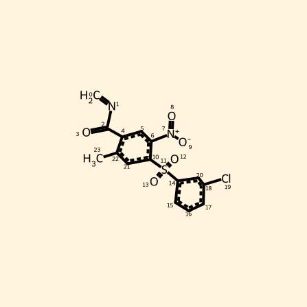 C=NC(=O)c1cc([N+](=O)[O-])c(S(=O)(=O)c2cccc(Cl)c2)cc1C